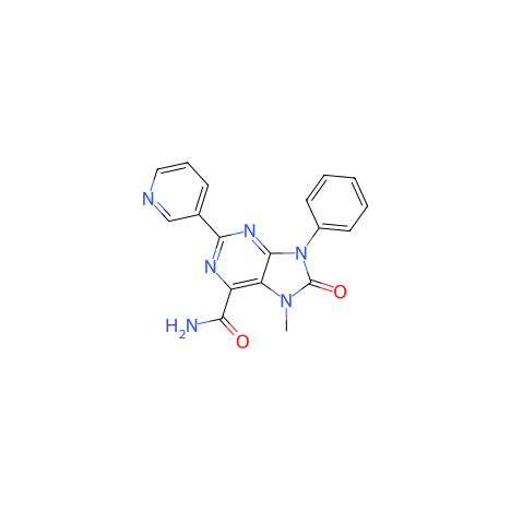 Cn1c(=O)n(-c2ccccc2)c2nc(-c3cccnc3)nc(C(N)=O)c21